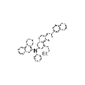 C=C(/C=c1/ccc2cc(N(c3ccccc3)c3cc4ccccc4c4ccccc34)cc(/C=C\CC)c2c1=C)c1ccc2ccccc2c1